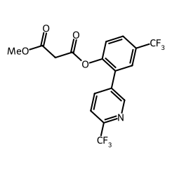 COC(=O)CC(=O)Oc1ccc(C(F)(F)F)cc1-c1ccc(C(F)(F)F)nc1